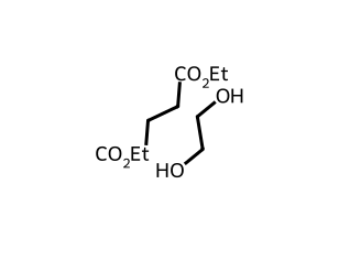 CCOC(=O)CCC(=O)OCC.OCCO